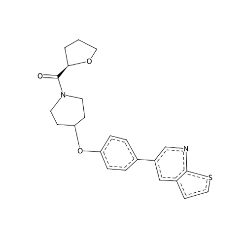 O=C([C@H]1CCCO1)N1CCC(Oc2ccc(-c3cnc4sccc4c3)cc2)CC1